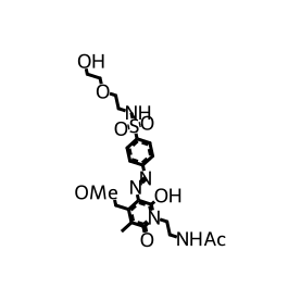 COCc1c(/N=N/c2ccc(S(=O)(=O)NCCOCCO)cc2)c(O)n(CCNC(C)=O)c(=O)c1C